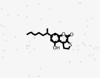 CCCCCC(C)c1cc(O)c2c3c(c(=O)oc2c1)SCC3